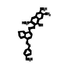 Nc1cc2c(O)c(N=Nc3ccc(N=Nc4ccc(S(=O)(=O)O)cc4)c4ccccc34)c(S(=O)(=O)O)cc2cc1S(=O)(=O)O